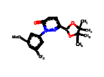 COc1cc(-n2nc(B3OC(C)(C)C(C)(C)O3)ccc2=O)cc(C(F)(F)F)c1